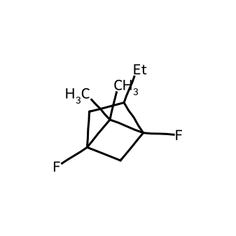 CCC1CC2(F)CC1(F)C2(C)C